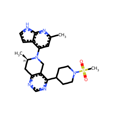 Cc1cc(N2Cc3c(ncnc3C3CCN(S(C)(=O)=O)CC3)C[C@H]2C)c2cc[nH]c2n1